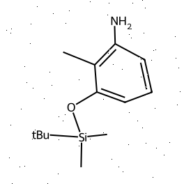 Cc1c(N)cccc1O[Si](C)(C)C(C)(C)C